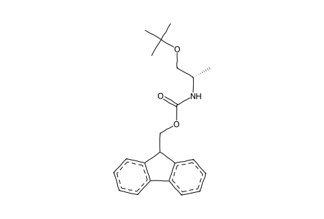 C[C@@H](COC(C)(C)C)NC(=O)OCC1c2ccccc2-c2ccccc21